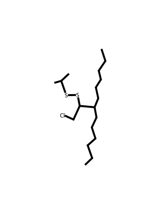 CCCCCCC(CCCCCC)C(CCl)SSC(C)C